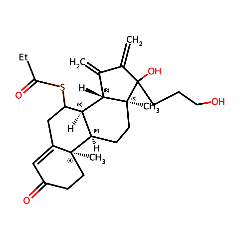 C=C1C(=C)C(O)(CCCO)[C@@]2(C)CC[C@@H]3[C@@H](C(SC(=O)CC)CC4=CC(=O)CC[C@@]43C)[C@H]12